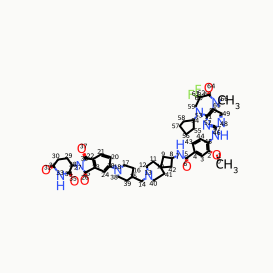 COc1cc(C(=O)NC2CC3(CCN(CC4CCN(c5ccc6c(c5)C(=O)N(C5CCC(=O)NC5=O)C6=O)CC4)CC3)C2)ccc1Nc1ncc2c(n1)N(C1CCCC1)CC(F)(F)C(=O)N2C